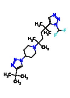 CC(C)(C)c1cn(C2CCN(C(C)(C)CCC(C)(C)c3cnnn3C(F)F)CC2)nn1